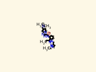 CCc1nn(Cc2ccn(CC)n2)c2cccc(NC(=O)c3cnc4cc(CN(C)C)ccn34)c12